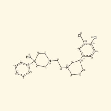 OC1(c2ccccc2)CCN(CCN2CCCC(c3ccc(Cl)c(Cl)c3)C2)CC1